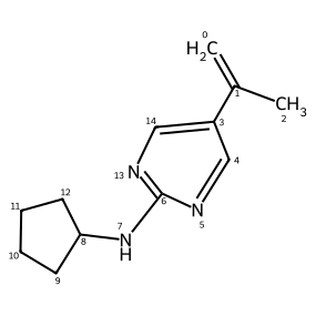 C=C(C)c1cnc(NC2CCCC2)nc1